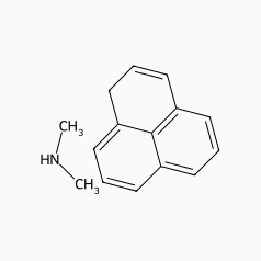 C1=Cc2cccc3cccc(c23)C1.CNC